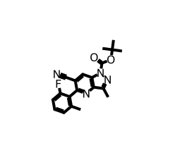 Cc1cccc(F)c1-c1nc2c(C)nn(C(=O)OC(C)(C)C)c2cc1C#N